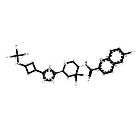 O=C(N[C@H]1CO[C@H](c2nnc(C3CC(OC(F)(F)F)C3)o2)CC1(F)F)c1ccc2cc(F)ccc2n1